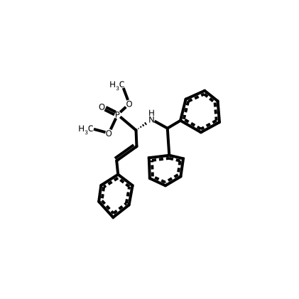 COP(=O)(OC)[C@@H](/C=C/c1ccccc1)NC(c1ccccc1)c1ccccc1